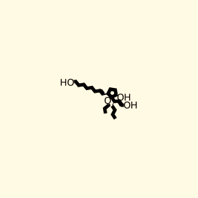 CCCC[C@@H](C=CO)C1(OCCC)[C@@H](O)CC[C@@H]1/C=C/CCCCCCO